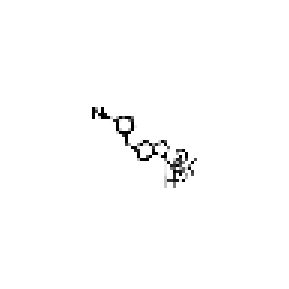 CC(C)S(=O)(=O)NC1CCc2cc(Cc3cccc(C#N)c3)ccc21